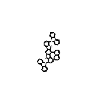 c1ccc2c(-c3c4oc5c(-n6c7ccccc7c7ccccc76)cccc5c4cc4oc5c(-n6c7ccccc7c7ccccc76)cccc5c34)cccc2c1